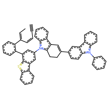 C#C/C=C\C(=C/C)c1ccccc1-c1cc(-n2c3c(c4ccccc42)C=C(c2ccc4c(c2)c2ccccc2n4-c2ccccc2)CC3)cc2c1sc1ccccc12